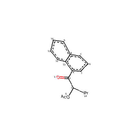 CC(=O)OC(C(=O)c1cccc2ccccc12)C(C)C